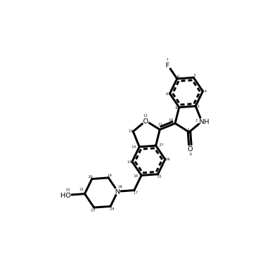 O=C1Nc2ccc(F)cc2C1=C1OCc2cc(CN3CCC(O)CC3)ccc21